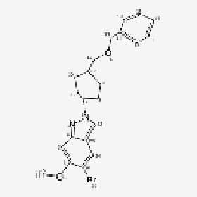 CC(C)Oc1cc2nn(C3CCC(COCc4ccccc4)CC3)cc2cc1Br